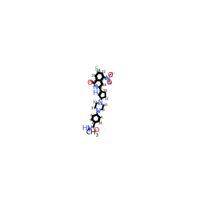 CNC(=O)c1ccc(N2CCN(C3C=C(c4cc5c([N+](=O)[O-])cc(F)cc5c(=O)[nH]4)CC3)CC2)cc1